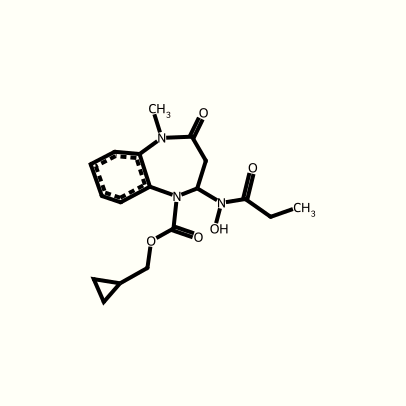 CCC(=O)N(O)C1CC(=O)N(C)c2ccccc2N1C(=O)OCC1CC1